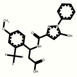 COc1ccc(C(CC(=O)O)NC(=O)c2cc(O)n(-c3ccccc3)n2)c(C(F)(F)F)c1